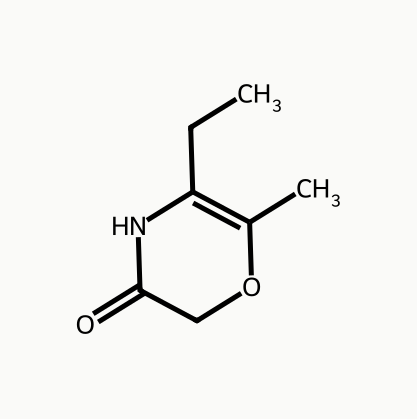 CCC1=C(C)OCC(=O)N1